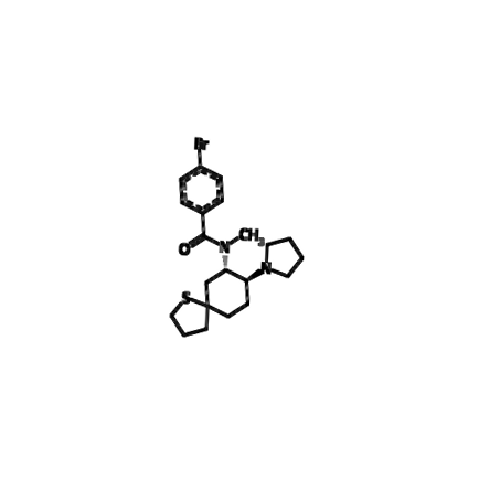 CN(C(=O)c1ccc(Br)cc1)[C@H]1CC2(CCCS2)CC[C@@H]1N1CCCC1